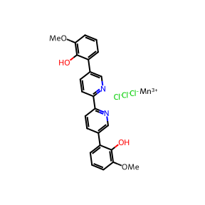 COc1cccc(-c2ccc(-c3ccc(-c4cccc(OC)c4O)cn3)nc2)c1O.[Cl-].[Cl-].[Cl-].[Mn+3]